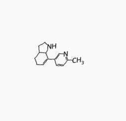 Cc1ccc(C2=CCCC3CCNC23)cn1